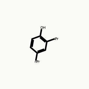 CCCc1ccc(O)c(C(C)C)c1